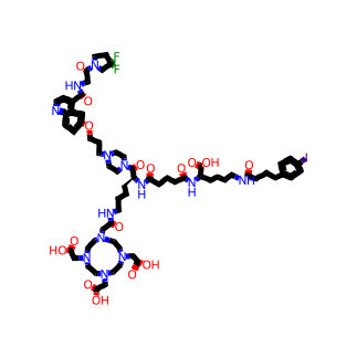 O=C(O)CN1CCN(CC(=O)O)CCN(CC(=O)NCCCC[C@H](NC(=O)CCCC(=O)NC(CCCCNC(=O)CCCc2ccc(I)cc2)C(=O)O)C(=O)N2CCN(CCCOc3ccc4nccc(C(=O)NCC(=O)N5CCC(F)(F)C5)c4c3)CC2)CCN(CC(=O)O)CC1